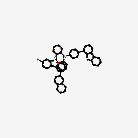 Fc1ccc2c3ccccc3n(-c3ccccc3N(c3ccc(-c4ccc5ccccc5c4)cc3)c3ccc(-c4cccc5c4sc4ccccc45)cc3)c2c1